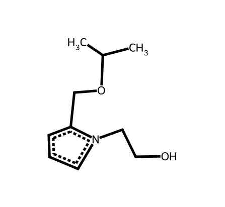 CC(C)OCc1cccn1CCO